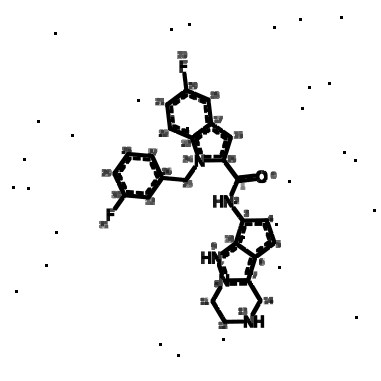 O=C(Nc1ccc2c3n([nH]c1-2)CCNC3)c1cc2cc(F)ccc2n1Cc1cccc(F)c1